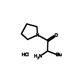 CCC(C)C(N)C(=O)N1CCCC1.Cl